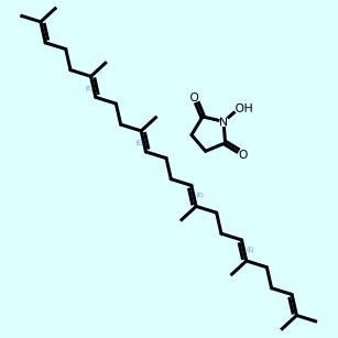 CC(C)=CCC/C(C)=C/CC/C(C)=C/CC/C=C(\C)CC/C=C(\C)CCC=C(C)C.O=C1CCC(=O)N1O